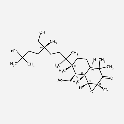 CCCC(C)(C)CC[C@](C)(CO)CCC(C)(C)[C@]1(C)CC[C@H]2C(C)(C)C(=O)[C@]3(C#N)O[C@@H]3[C@]2(C)[C@H]1CC(C)=O